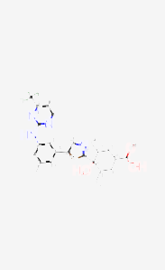 Cc1cc(Nc2nccc(C(F)(F)F)n2)cc(-c2cnc(C3(O)C(C)CC(C(=O)O)CC3C)s2)c1